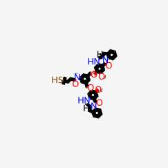 COc1cc2c(cc1OCc1cc(COc3cc4c(cc3OC)C(=O)N3c5ccccc5C[C@H]3CN4)cc(N(C)C(=O)CCC(C)(C)S)c1)NC[C@@H]1Cc3ccccc3N1C2=O